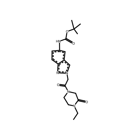 CCN1CCN(C(=O)Cn2cc3cc(NC(=O)OC(C)(C)C)ccc3n2)CC1=O